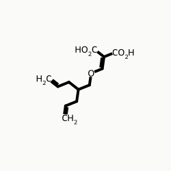 C=CCC(CC=C)COC=C(C(=O)O)C(=O)O